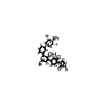 CC(C)N1[C@H](C)CN(c2cccc(-c3cc(F)cc(-c4ccc(-n5ccn(C)c5=O)c(Cl)c4)c3O)c2)C[C@@H]1C